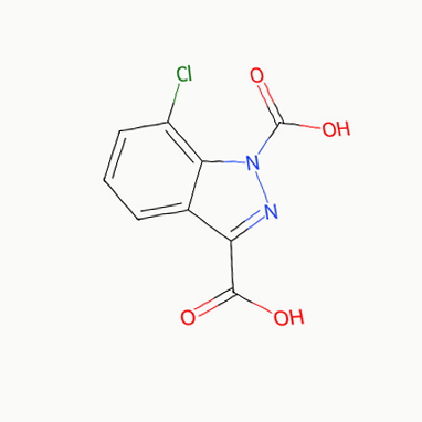 O=C(O)c1nn(C(=O)O)c2c(Cl)cccc12